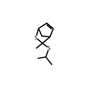 CC(C)SC1(C)SC2C=CC1C2